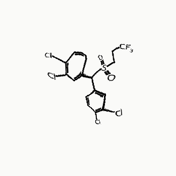 O=S(=O)(CCC(F)(F)F)C(c1ccc(Cl)c(Cl)c1)c1ccc(Cl)c(Cl)c1